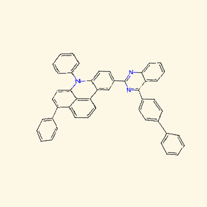 c1ccc(-c2ccc(-c3nc(-c4ccc5c(c4)-c4cccc6c(-c7ccccc7)ccc(c46)N5c4ccccc4)nc4ccccc34)cc2)cc1